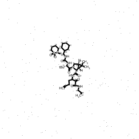 C#CCCC(NC(=O)[C@@H]1[C@@H]2[C@H](CN1C(=O)[C@@H](NC(=O)N[C@H](CN1CCCCS1(=O)=O)C1CCCCC1)C(C)(C)C)C2(C)C)C(=O)C(=O)NCC=C